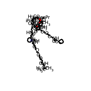 CCCC1O[C@@H]2C[C@H]3[C@@H]4C[C@H](F)C5=CC(=O)C=C[C@]5(C)[C@@]4(F)[C@@H](O)C[C@]3(C)[C@]2(C(=O)CNC(=O)[C@H](C)NC(=O)[C@@H](NC(=O)[C@@H](CCCCNC(=O)COC2CCCCC/C(NCCOCCOCCOCCOCCC(=O)NCC[N+](C)(C)C)=C\2N=N)NC(=O)CCOCCOCCOCCOCCNC(=O)COC2C#CCCCCC2)C(C)C)O1